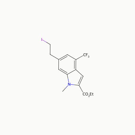 CCOC(=O)c1cc2c(C(F)(F)F)cc(CCI)cc2n1C